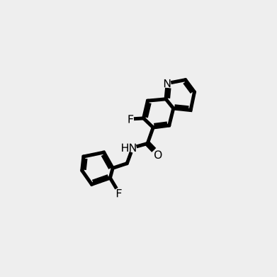 O=C(NCc1ccccc1F)c1cc2cccnc2cc1F